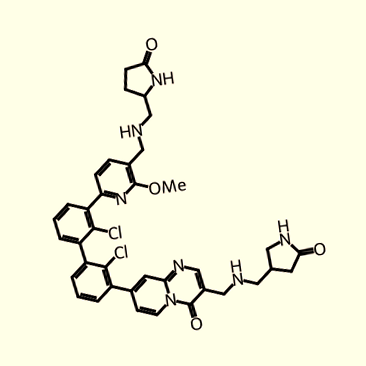 COc1nc(-c2cccc(-c3cccc(-c4ccn5c(=O)c(CNCC6CNC(=O)C6)cnc5c4)c3Cl)c2Cl)ccc1CNCC1CCC(=O)N1